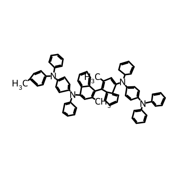 Cc1ccc(N(c2ccccc2)c2ccc(N(c3ccccc3)c3cc(C)c(-c4c(C)cc(N(c5ccc(N(c6ccccc6)c6ccccc6)cc5)C5C=CC=CC5)c5ccccc45)c4ccccc34)cc2)cc1